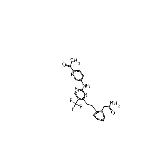 CC(=O)c1ccc(Nc2ncc(C(F)(F)F)c(CCc3ccccc3CC(N)=O)n2)cn1